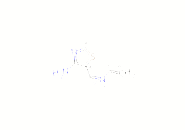 C=C/N=C\c1scnc1N